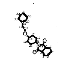 O=C1c2ccccc2C(=O)N1C1CCC(OCCc2ccccc2)CC1